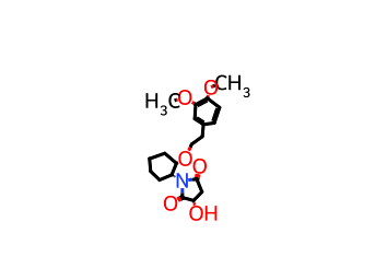 COc1ccc(CCO[C@@H]2CCCC[C@H]2N2C(=O)C[C@@H](O)C2=O)cc1OC